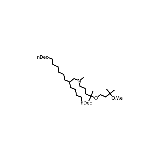 CCCCCCCCCCCCCCCCC(CCCCCCCCCCCCCC)CN(C)CCCC(C)(C)OCCC(C)(C)OC